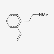 C=Cc1ccccc1CCNC